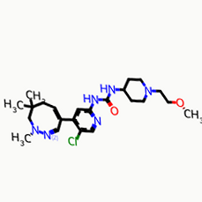 COCCN1CCC(NC(=O)Nc2cc(C3=CCC(C)(C)CN(C)/N=C\3)c(Cl)cn2)CC1